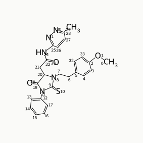 COc1ccc(CCN2C(=S)N(c3ccccc3)C(=O)C2CC(=O)Nc2ccc(C)nn2)cc1